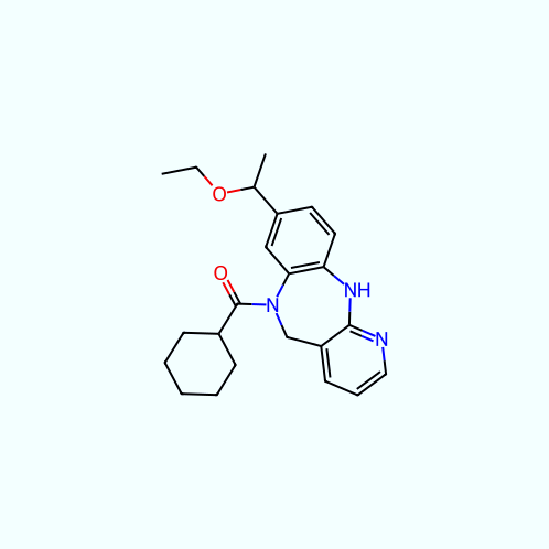 CCOC(C)c1ccc2c(c1)N(C(=O)C1CCCCC1)Cc1cccnc1N2